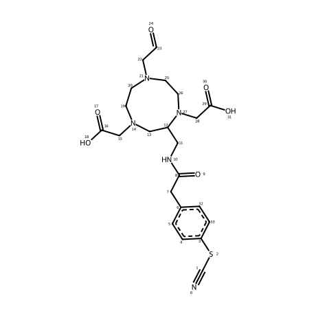 N#CSc1ccc(CC(=O)NCC2CN(CC(=O)O)CCN(CC=O)CCN2CC(=O)O)cc1